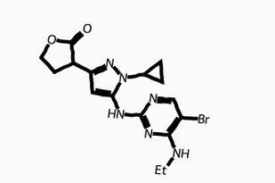 CCNc1nc(Nc2cc(C3CCOC3=O)nn2C2CC2)ncc1Br